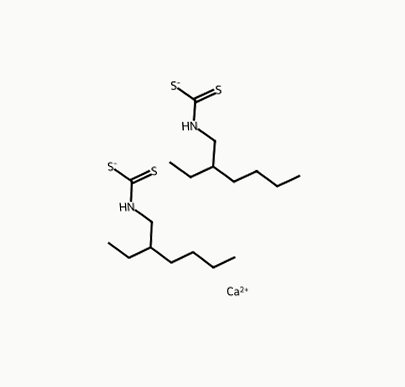 CCCCC(CC)CNC(=S)[S-].CCCCC(CC)CNC(=S)[S-].[Ca+2]